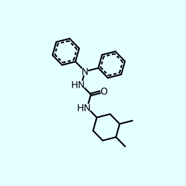 CC1CCC(NC(=O)NN(c2ccccc2)c2ccccc2)CC1C